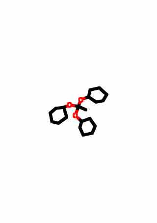 CC(OC1CCCCC1)(OC1CCCCC1)OC1CCCCC1